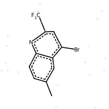 Cc1ccc2nc(C(F)(F)F)cc(Br)c2c1